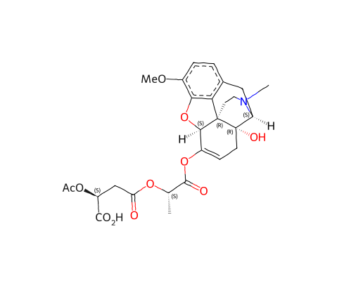 COc1ccc2c3c1O[C@@H]1C(OC(=O)[C@H](C)OC(=O)C[C@H](OC(C)=O)C(=O)O)=CC[C@]4(O)[C@H](C2)N(C)CC[C@@]314